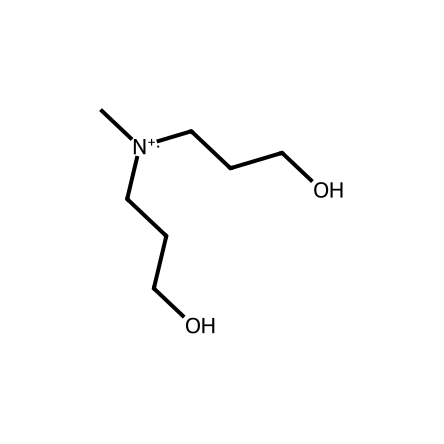 C[N+](CCCO)CCCO